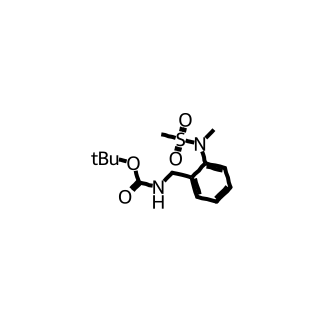 CN(c1ccccc1CNC(=O)OC(C)(C)C)S(C)(=O)=O